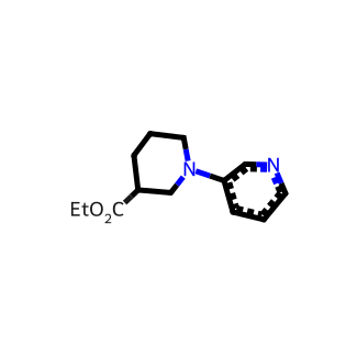 CCOC(=O)C1CCCN(c2cccnc2)C1